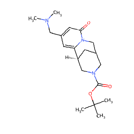 CN(C)Cc1cc2n(c(=O)c1)CC1C[C@H]2CN(C(=O)OC(C)(C)C)C1